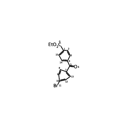 CCOC(=O)c1ccc(C(=O)c2ccc(Br)cc2)cc1